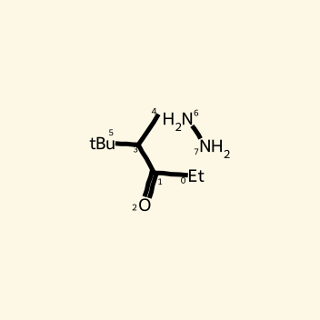 CCC(=O)C(C)C(C)(C)C.NN